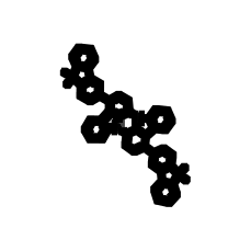 CC1(C)c2ccccc2-c2cc(C3=CC=C4C5C3c3ccccc3N5c3ccc(-c5ccc6c(c5)-c5ccccc5C6(C)C)c5c6ccccc6n4c35)ccc21